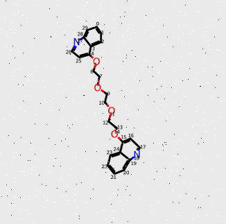 c1ccc2c(OCCOCCOCCOc3ccnc4ccccc34)ccnc2c1